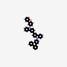 c1ccc(-c2ccccc2-c2ccc(-n3c4ccccc4c4cc(-c5ccc6c(c5)c5ccccc5n6-c5ccc6oc7ccccc7c6c5)ccc43)cc2)cc1